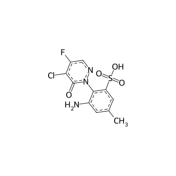 Cc1cc(N)c(-n2ncc(F)c(Cl)c2=O)c(S(=O)(=O)O)c1